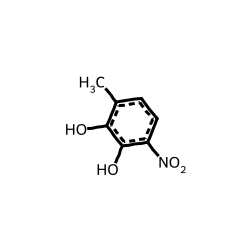 Cc1ccc([N+](=O)[O-])c(O)c1O